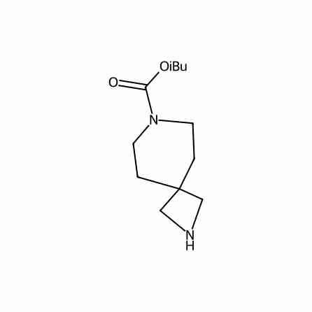 CC(C)COC(=O)N1CCC2(CC1)CNC2